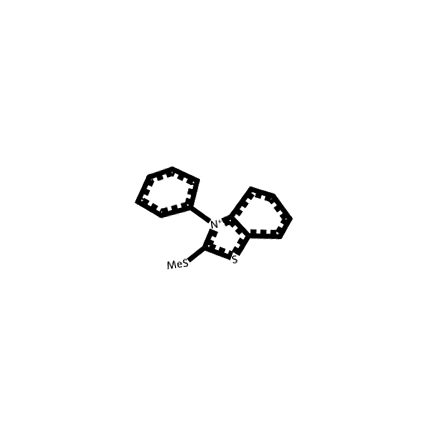 CSc1sc2ccccc2[n+]1-c1ccccc1